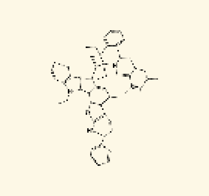 CCN1C2=C(CCC=C2)N2C(C3=CC4(CC)c5ccccc5C5CC(CC(C)C)C([SiH2]C)=CN5C34CC)C3=CC(C)C4C5=C(NC(c6ccccc6)C=C5)OC4C3C12